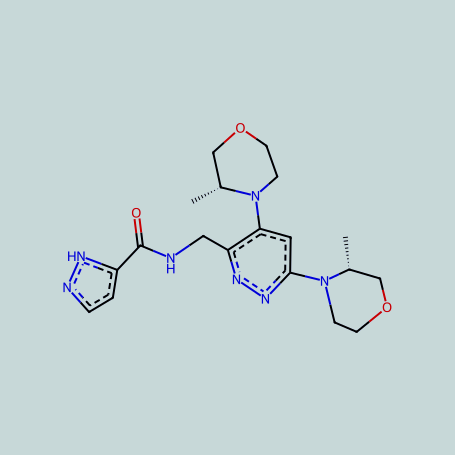 C[C@@H]1COCCN1c1cc(N2CCOC[C@H]2C)c(CNC(=O)c2ccn[nH]2)nn1